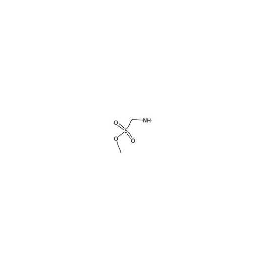 COS(=O)(=O)C[NH]